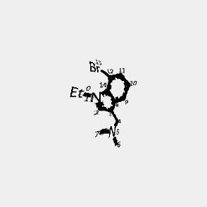 CCn1cc(CN(C)C)c2cccc(Br)c21